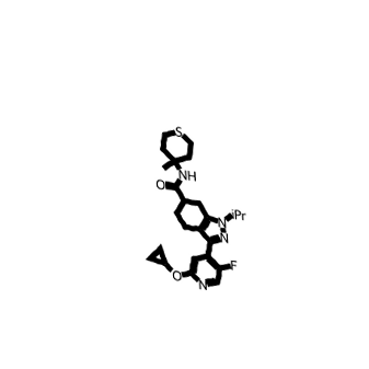 CC(C)n1nc(-c2cc(OC3CC3)ncc2F)c2c1CC(C(=O)NC1(C)CCSCC1)CC2